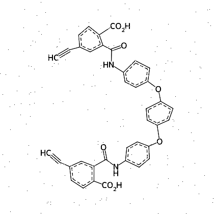 C#Cc1ccc(C(=O)O)c(C(=O)Nc2ccc(Oc3ccc(Oc4ccc(NC(=O)c5cc(C#C)ccc5C(=O)O)cc4)cc3)cc2)c1